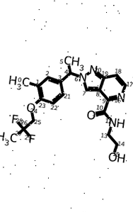 Cc1cc(C(C)n2cc3c(C(=O)NCCO)nccc3n2)ccc1OCC(C)(F)F